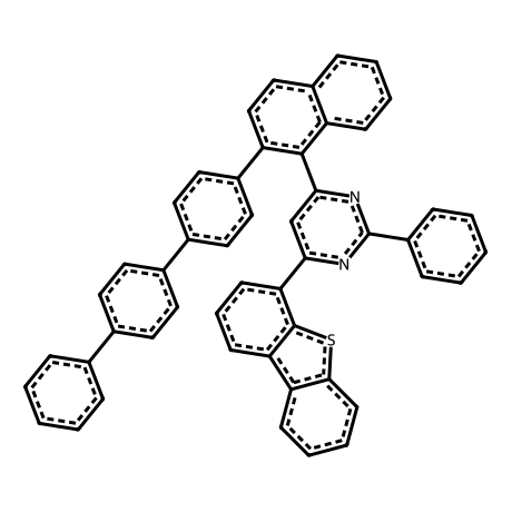 c1ccc(-c2ccc(-c3ccc(-c4ccc5ccccc5c4-c4cc(-c5cccc6c5sc5ccccc56)nc(-c5ccccc5)n4)cc3)cc2)cc1